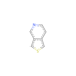 [c]1scc2ccncc12